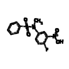 CN(c1ccc(F)c([N+](=O)O)c1)S(=O)(=O)c1ccccc1